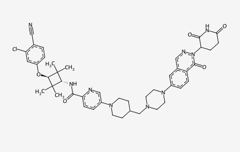 CC1(C)[C@H](NC(=O)c2ccc(N3CCC(CN4CCN(c5ccc6c(=O)n(C7CCC(=O)NC7=O)ncc6c5)CC4)CC3)cn2)C(C)(C)[C@H]1Oc1ccc(C#N)c(Cl)c1